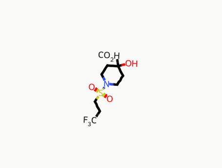 O=C(O)C1(O)CCN(S(=O)(=O)CCC(F)(F)F)CC1